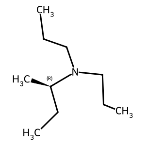 CCCN(CCC)[C@H](C)CC